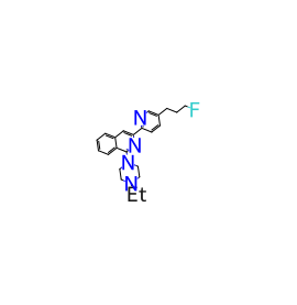 CCN1CCN(c2nc(-c3ccc(CCCF)cn3)cc3ccccc23)CC1